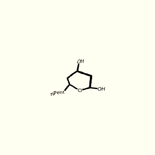 CCCCCC1CC(O)CC(O)O1